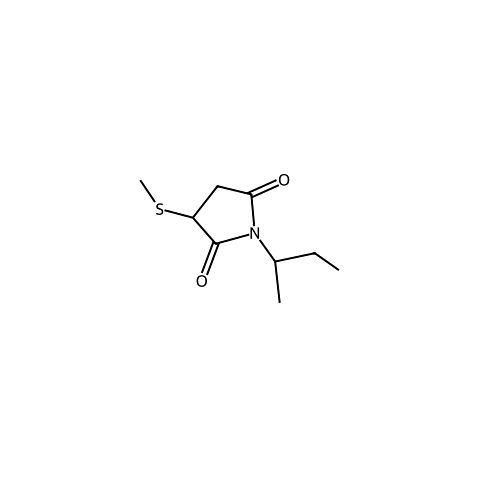 CCC(C)N1C(=O)CC(SC)C1=O